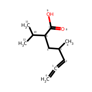 C=C=CC(C)CC(C(=O)O)C(C)C